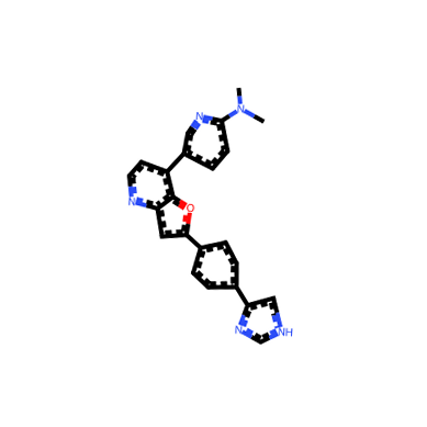 CN(C)c1ccc(-c2ccnc3cc(-c4ccc(-c5c[nH]cn5)cc4)oc23)cn1